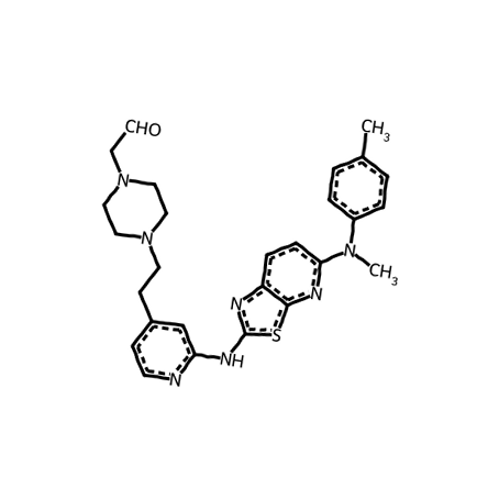 Cc1ccc(N(C)c2ccc3nc(Nc4cc(CCN5CCN(CC=O)CC5)ccn4)sc3n2)cc1